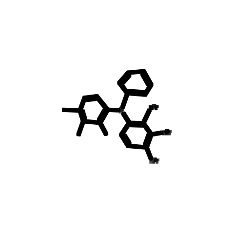 CCCc1ccc(P(c2ccccc2)c2ccc(C)c(C)c2C)c(CCC)c1CCC